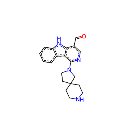 O=Cc1cnc(N2CCC3(CCNCC3)C2)c2c1[nH]c1ccccc12